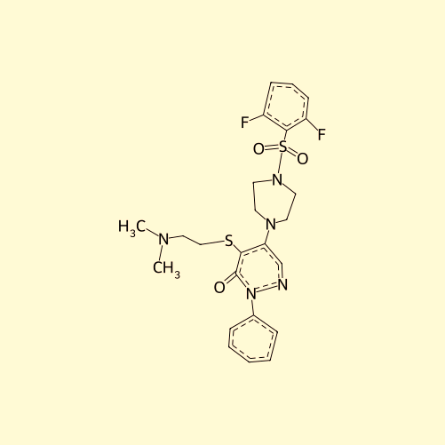 CN(C)CCSc1c(N2CCN(S(=O)(=O)c3c(F)cccc3F)CC2)cnn(-c2ccccc2)c1=O